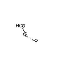 O=C(O)CC/C=C/c1ccc(CCCCCCCc2ccccc2)s1